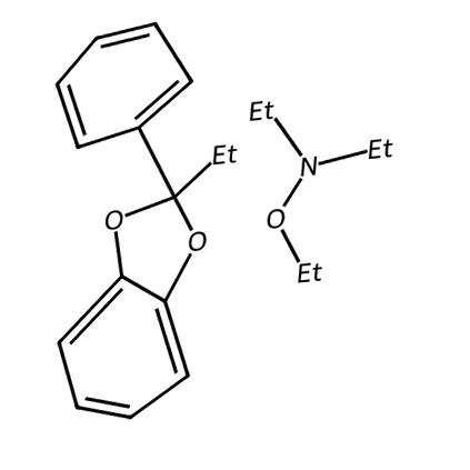 CCC1(c2ccccc2)Oc2ccccc2O1.CCON(CC)CC